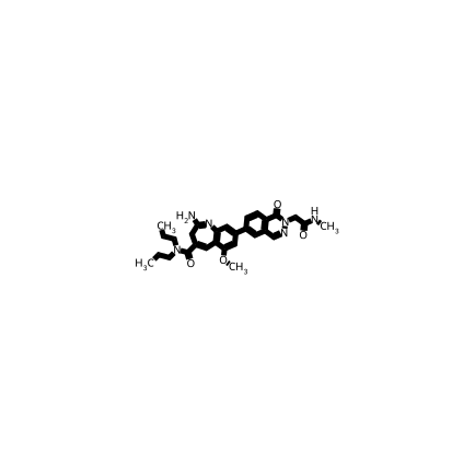 CCCN(CCC)C(=O)C1=Cc2c(cc(-c3ccc4c(=O)n(CC(=O)NC)ncc4c3)cc2OC)N=C(N)C1